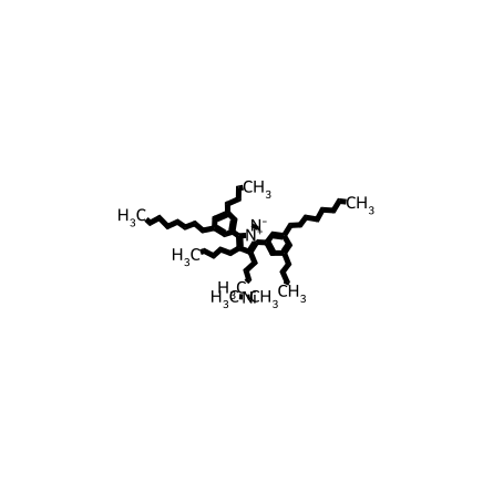 CCCCCCCCc1cc(CCCC)cc(C2=C(CCCC)C(CCCCC)=C(c3cc(CCCC)cc(CCCCCCCC)c3)[N+]2=[N-])c1.[CH3][Ni][CH3]